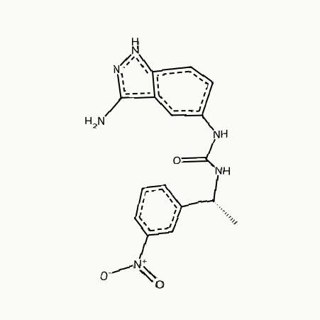 C[C@@H](NC(=O)Nc1ccc2[nH]nc(N)c2c1)c1cccc([N+](=O)[O-])c1